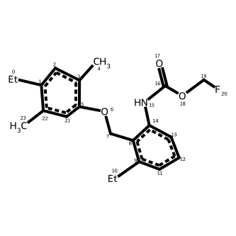 CCc1cc(C)c(OCc2c(CC)cccc2NC(=O)OCF)cc1C